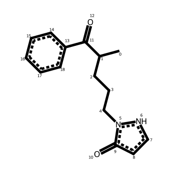 CC(CCCn1[nH]ccc1=O)C(=O)c1ccccc1